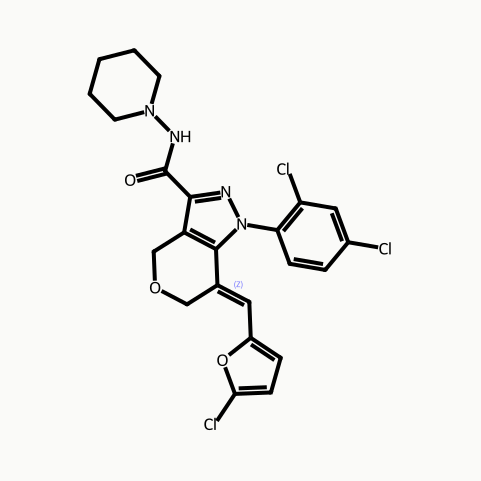 O=C(NN1CCCCC1)c1nn(-c2ccc(Cl)cc2Cl)c2c1COC/C2=C\c1ccc(Cl)o1